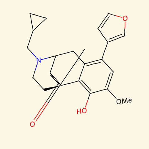 COc1cc(-c2ccoc2)c2c(c1O)[C@@]13CCN(CC4CC4)C(C2)C1CCC(=O)C3